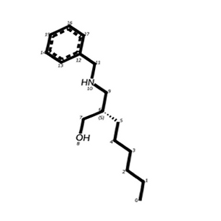 CCCCCC[C@H](CO)CNCc1ccccc1